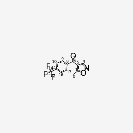 Cc1oncc1C(=O)c1ccc(C(F)(F)F)cc1